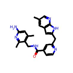 Cc1cnc2[nH]c(Cc3cc(C(=O)NCc4c(C)cc(N)nc4C)ccn3)cc2c1